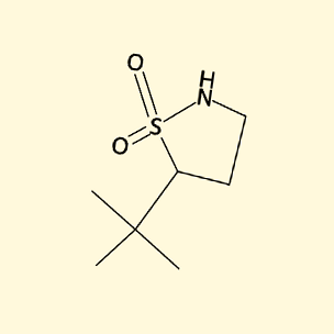 CC(C)(C)C1CCNS1(=O)=O